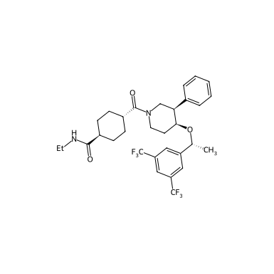 CCNC(=O)[C@H]1CC[C@H](C(=O)N2CC[C@H](O[C@H](C)c3cc(C(F)(F)F)cc(C(F)(F)F)c3)[C@H](c3ccccc3)C2)CC1